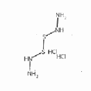 Cl.Cl.NNSSNN